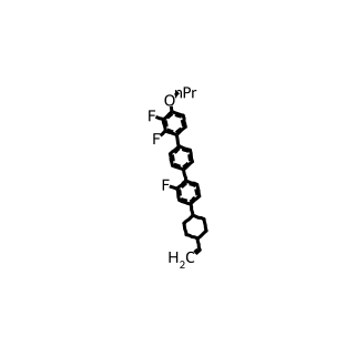 C=CC1CCC(c2ccc(-c3ccc(-c4ccc(OCCC)c(F)c4F)cc3)c(F)c2)CC1